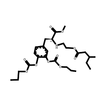 CCCOC(=O)Oc1ccc(C[C@H](NCCOC(=O)CC(C)CC)C(=O)OC)cc1OC(=O)OCCC